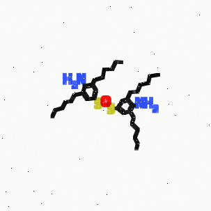 CCCCCCc1cc(SOSc2cc(CCCCCC)c(N)c(CCCCCC)c2)cc(CCCCCC)c1N